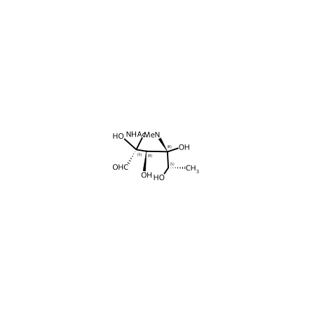 CN[C@@](O)([C@H](C)O)[C@@H](O)[C@](O)(C=O)NC(C)=O